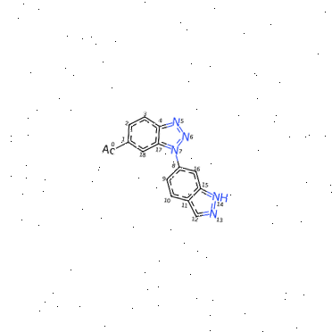 CC(=O)c1ccc2nnn(-c3ccc4cn[nH]c4c3)c2c1